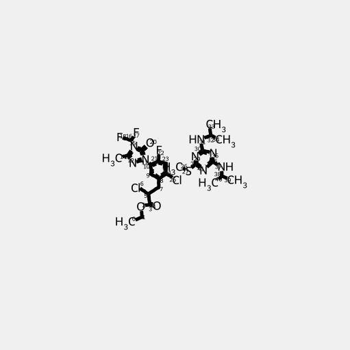 CCOC(=O)C(Cl)Cc1cc(-n2nc(C)n(C(F)F)c2=O)c(F)cc1Cl.CSc1nc(NC(C)C)nc(NC(C)C)n1